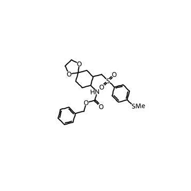 CSc1ccc(S(=O)(=O)CC2CC3(CCC2NC(=O)OCc2ccccc2)OCCO3)cc1